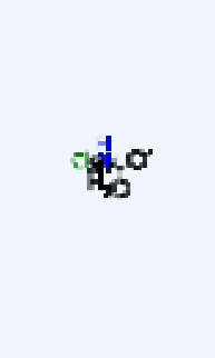 Cc1ccc(C(c2ccc(C)cc2)C(C)(C)N[SiH2]Cl)cc1